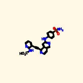 NS(=O)(=O)c1ccc(Nc2cc3c(C#Cc4cccnc4NC(=O)O)nccc3cn2)cc1